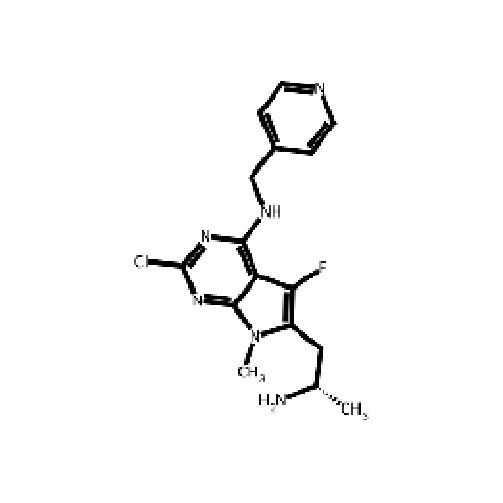 C[C@H](N)Cc1c(F)c2c(NCc3ccncc3)nc(Cl)nc2n1C